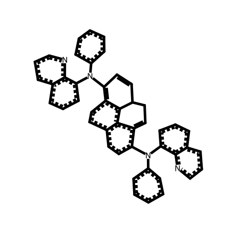 C1=CC2CC=c3c(N(c4ccccc4)c4cccc5cccnc45)ccc4ccc(c2c34)=C1N(c1ccccc1)c1cccc2cccnc12